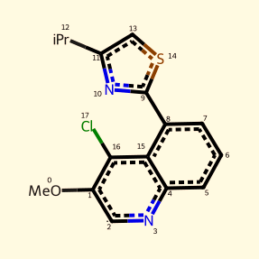 COc1[c]nc2cccc(-c3nc(C(C)C)cs3)c2c1Cl